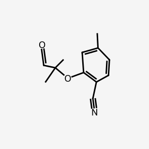 Cc1ccc(C#N)c(OC(C)(C)C=O)c1